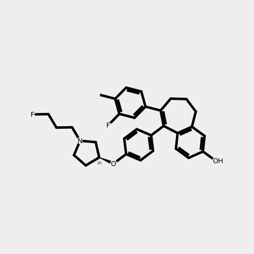 Cc1ccc(C2=C(c3ccc(O[C@H]4CCN(CCCF)C4)cc3)c3ccc(O)cc3CCC2)cc1F